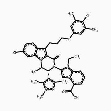 CCn1c(N2C(=O)c3c(CCCOc4cc(C)c(Cl)c(C)c4)c4ccc(Cl)cc4n3C(C)[C@H]2c2c(C)nn(C)c2C)cc2c(C(=O)O)cccc21